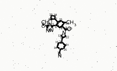 COc1nnc(-c2cc(C(=O)N3CC(c4ccc(C#N)cc4)C3)c(C)cc2C2CCC2)[nH]1